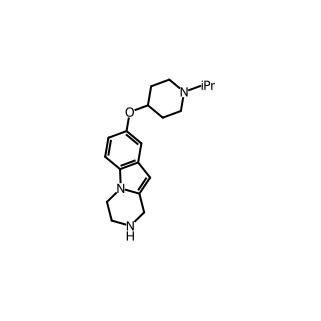 CC(C)N1CCC(Oc2ccc3c(c2)cc2n3CCNC2)CC1